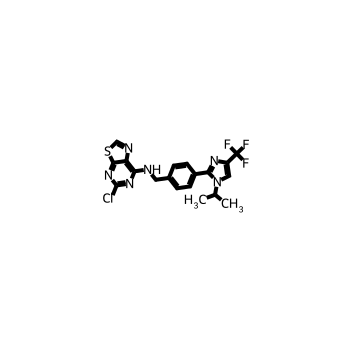 CC(C)n1cc(C(F)(F)F)nc1-c1ccc(CNc2nc(Cl)nc3scnc23)cc1